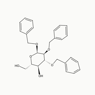 OC[C@@H]1O[C@@H](OCc2ccccc2)[C@@H](OCc2ccccc2)[C@H](OCc2ccccc2)[C@H]1O